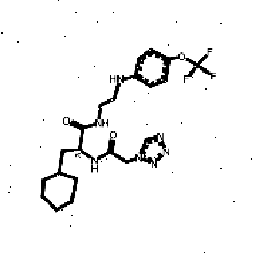 O=C(Cn1cnnn1)N[C@@H](CC1CCCCC1)C(=O)NCCNc1ccc(OC(F)(F)F)cc1